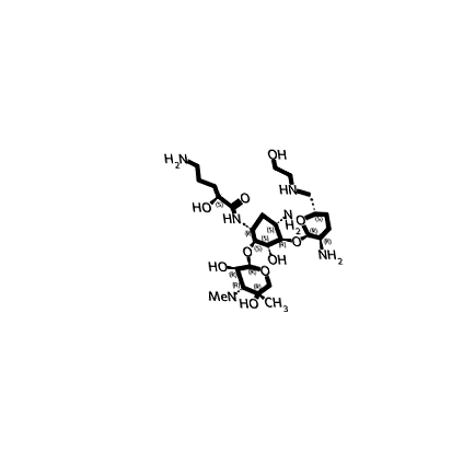 CN[C@@H]1[C@@H](O)[C@@H](O[C@@H]2[C@@H](O)[C@H](O[C@H]3O[C@H](CNCCO)CC[C@H]3N)[C@@H](N)C[C@H]2NC(=O)[C@@H](O)CCCN)OC[C@]1(C)O